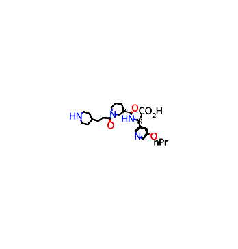 CCCOc1cncc([C@H](CC(=O)O)NC(=O)[C@@H]2CCCN(C(=O)CCC3CCNCC3)C2)c1